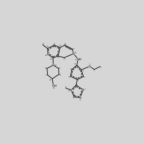 CCOc1cc(-c2nncn2C)ccc1NN1C=Cc2cc(C)nc(N3CCC(O)CC3)c2C1